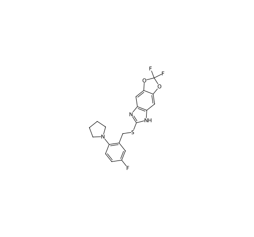 Fc1ccc(N2CCCC2)c(CSc2nc3cc4c(cc3[nH]2)OC(F)(F)O4)c1